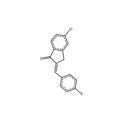 O=C1/C(=C/c2ccc(F)cc2)Cc2cc(Cl)ccc21